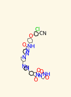 N#Cc1ccc(OC2CCC(NC(=O)c3ccc(N4CCC(CN5CC6CCC5CN6c5ccc6c(c5)C(=O)N(N5CCC(=O)NC5=O)C6=O)CC4)nn3)CC2)cc1Cl